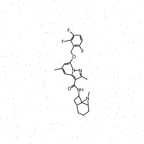 Cc1cc(OCc2c(F)ccc(F)c2F)n2nc(C)c(C(=O)NC3CC4CCCC5N(C)C435)c2c1